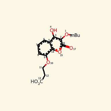 CCCCOc1c(O)c2cccc(OCCC(=O)O)c2oc1=O